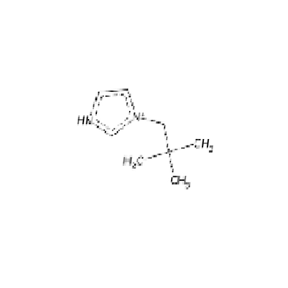 CC(C)(C)C[n+]1cc[nH]c1